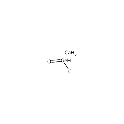 [CaH2].[O]=[GeH][Cl]